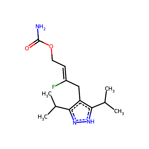 CC(C)c1n[nH]c(C(C)C)c1CC(F)=CCOC(N)=O